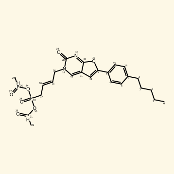 CCCCCc1ccc(-c2cc3cn(C/C=C/CP(=O)(O[PH](C)=O)O[PH](C)=O)c(=O)nc3o2)cc1